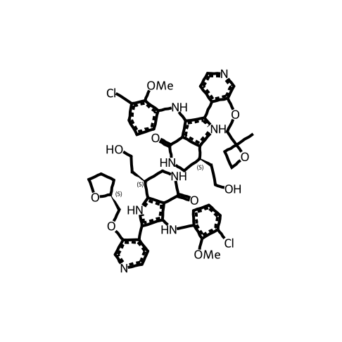 COc1c(Cl)cccc1Nc1c(-c2ccncc2OCC2(C)CCO2)[nH]c2c1C(=O)NC[C@@H]2CCO.COc1c(Cl)cccc1Nc1c(-c2ccncc2OC[C@@H]2CCCO2)[nH]c2c1C(=O)NC[C@@H]2CCO